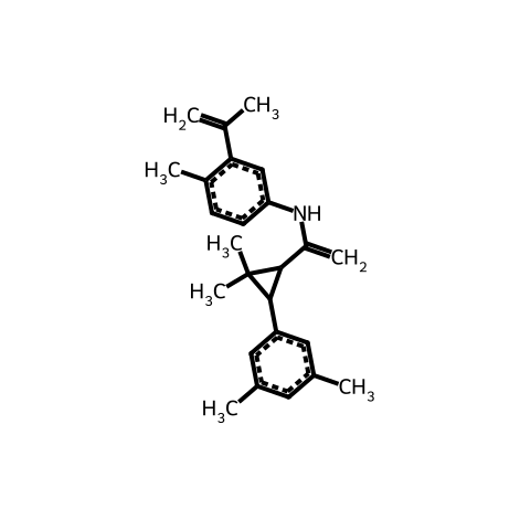 C=C(C)c1cc(NC(=C)C2C(c3cc(C)cc(C)c3)C2(C)C)ccc1C